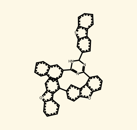 c1ccc2cc(C3=NC(c4cccc5oc6ccc(-c7cccc8oc9ccccc9c78)cc6c45)=NC(c4ccc5c(c4)sc4ccccc45)N3)ccc2c1